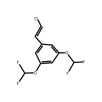 FC(F)Oc1cc(C=[C]Cl)cc(OC(F)F)c1